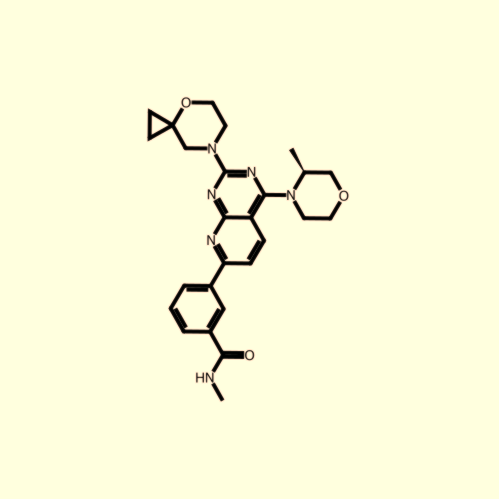 CNC(=O)c1cccc(-c2ccc3c(N4CCOC[C@@H]4C)nc(N4CCOC5(CC5)C4)nc3n2)c1